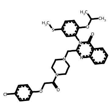 CSc1ccc(OC(C)C)c(-n2c(CN3CCN(C(=O)COc4ccc(Cl)cc4)CC3)nc3ccccc3c2=O)c1